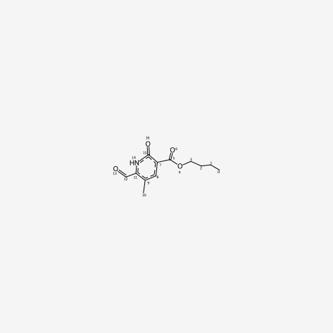 CCCCOC(=O)c1cc(C)c(C=O)[nH]c1=O